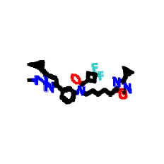 Cn1nc(-c2cccc(N(CCCCCc3nc(C4CC4)no3)C(=O)C3CC(F)(F)C3)c2)cc1C1CC1